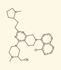 CN1CCCC1CCc1nc2c(c(N3CCN(C)C(CC#N)C3)n1)CCN(c1cccc3cccc(Cl)c13)C2